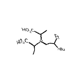 CCCCC(CC)CN(C(C)C(=O)O)C(C)C(=O)O